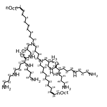 CCCCCCCC/C=C\CCCCCCCCN(CCCCN(CCCCCCCC/C=C\CCCCCCCC)CC(C)CNC(=O)C(CCCNCCCN)NCCCN)CC(C)CNC(=O)C(CCCNCCCN)NCCCN